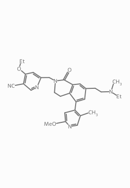 CCOc1cc(CN2CCc3c(cc(CCN(C)CC)cc3-c3cc(OC)ncc3C)C2=O)ncc1C#N